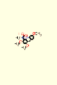 COc1ccc(Cc2cc(C(C)C(=O)O)c(OC)cc2OC)c(N)c1